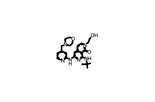 CC(C)(C)Nc1nc(Nc2cc(CN3CCOCC3)ccn2)cc2ccn(CCO)c(=O)c12